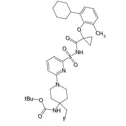 Cc1cccc(C2CCCCC2)c1OC1(C(=O)NS(=O)(=O)c2cccc(N3CCC(CF)(NC(=O)OC(C)(C)C)CC3)n2)CC1